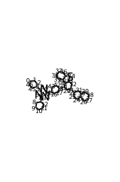 c1ccc(-c2nc(-c3ccccc3)nc(-c3ccc(-c4cc(-c5ccc6ccccc6c5)cc5sc6ccccc6c45)cc3)n2)cc1